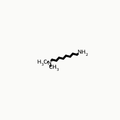 CN(C)CCCCCCCCN